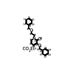 CCOC(=O)c1ccn(CCOCc2ccccc2)c(=O)c1OCc1ccccc1